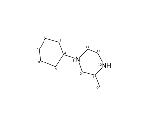 CC1CN(C2CCCCC2)CCN1